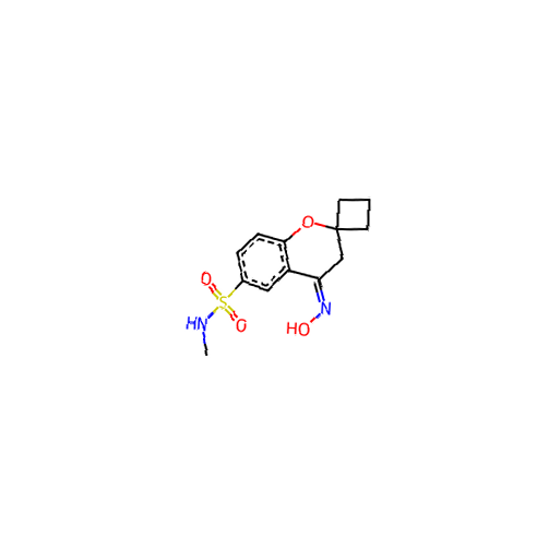 CNS(=O)(=O)c1ccc2c(c1)/C(=N\O)CC1(CCC1)O2